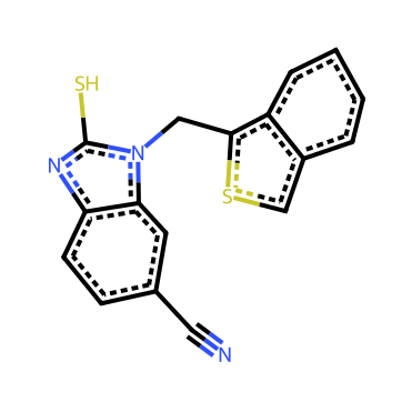 N#Cc1ccc2nc(S)n(Cc3scc4ccccc34)c2c1